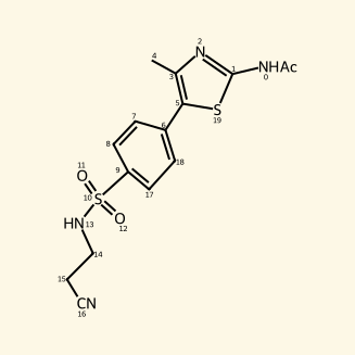 CC(=O)Nc1nc(C)c(-c2ccc(S(=O)(=O)NCCC#N)cc2)s1